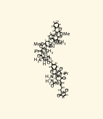 CC[C@H](C)[C@@H]([C@@H](CC(=O)N1CCC[C@H]1[C@H](OC)[C@@H](C)C(=S)N[C@@H](Cc1ccccc1)C(=O)OC)OC)N(C)C(=O)[C@@H](NC(=O)C(C)(C)NC(=O)OCc1ccc(N(C(=O)[C@@H](NC(=O)CCCCCN2C(=O)C=CC2=O)C(C)C)[C@@H](CCCNC(N)=O)C(N)=O)cc1)C(C)C